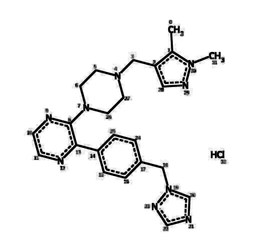 Cc1c(CN2CCN(c3nccnc3-c3ccc(Cn4cncn4)cc3)CC2)cnn1C.Cl